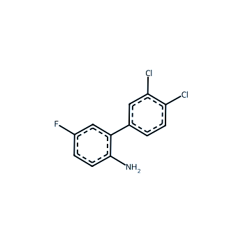 Nc1ccc(F)cc1-c1ccc(Cl)c(Cl)c1